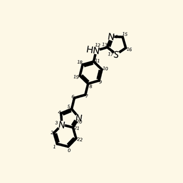 c1ccn2cc(CCc3ccc(NC4=NCCS4)cc3)nc2c1